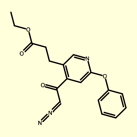 CCOC(=O)CCc1cnc(Oc2ccccc2)cc1C(=O)C=[N+]=[N-]